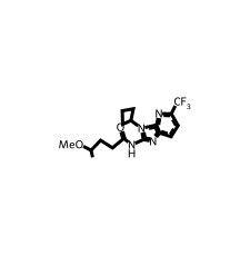 COC(C)CCC(=O)Nc1nc2ccc(C(F)(F)F)nc2n1C1CCC1